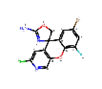 NC1=NC2(CO1)c1cc(Cl)ncc1Oc1c(F)cc(Br)cc12